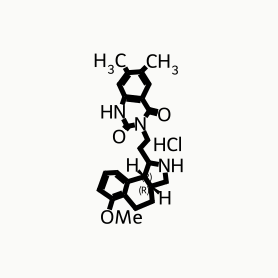 COc1cccc2c1CC[C@H]1CNC(CCn3c(=O)[nH]c4cc(C)c(C)cc4c3=O)[C@@H]21.Cl